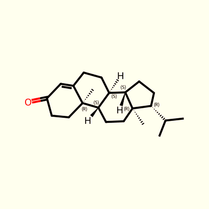 CC(C)[C@H]1CC[C@H]2[C@@H]3CCC4=CC(=O)CC[C@]4(C)[C@H]3CC[C@]12C